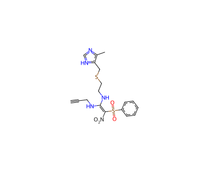 C#CCNC(NCCSCc1[nH]cnc1C)=C([N+](=O)[O-])S(=O)(=O)c1ccccc1